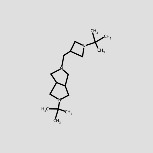 CC(C)(C)N1CC(CN2CC3CN(C(C)(C)C)CC3C2)C1